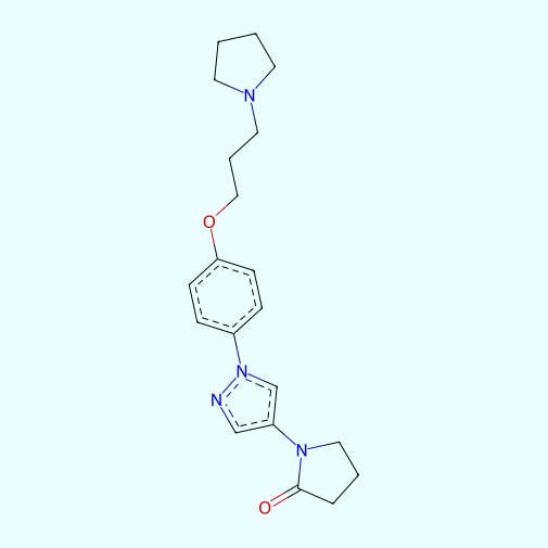 O=C1CCCN1c1cnn(-c2ccc(OCCCN3CCCC3)cc2)c1